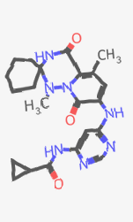 Cc1cc(Nc2cc(NC(=O)C3CC3)ncn2)c(=O)n2c1C(=O)NC1(CCCCC1)N2C